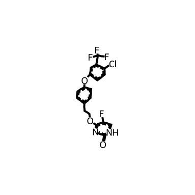 O=c1nc(OCCc2ccc(Oc3ccc(Cl)c(C(F)(F)F)c3)cc2)c(F)c[nH]1